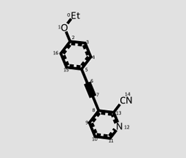 CCOc1ccc(C#Cc2cccnc2C#N)cc1